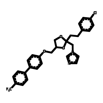 FC(F)(F)c1ccc(-c2ccc(OCC3COC(CCc4ccc(Cl)cc4)(Cn4ccnc4)O3)cc2)cc1